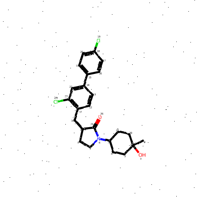 CC1(O)CCC(N2CCC(Cc3ccc(-c4ccc(Cl)cc4)cc3Cl)C2=O)CC1